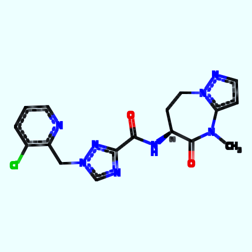 CN1C(=O)[C@@H](NC(=O)c2ncn(Cc3ncccc3Cl)n2)CCn2nccc21